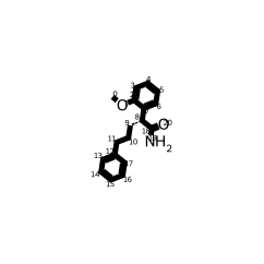 COc1ccccc1[C@@H](CCCc1ccccc1)C(N)=O